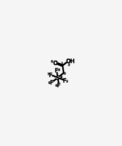 O=C(O)CS(F)(F)(F)(F)F